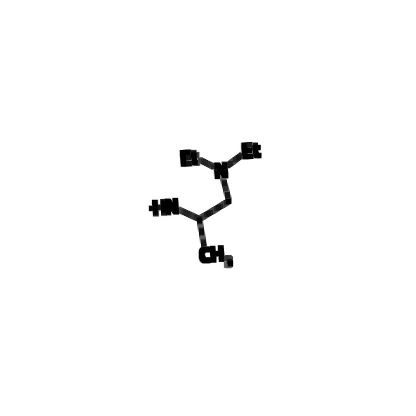 CCN(CC)CC(C)[NH]